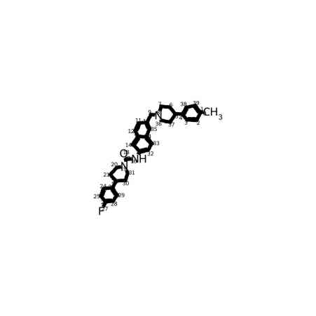 Cc1ccc(C2CCN(Cc3ccc4cc(NC(=O)N5CCC(c6ccc(F)cc6)CC5)ccc4c3)CC2)cc1